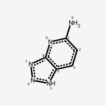 Nc1ccc2[nH]nnc2n1